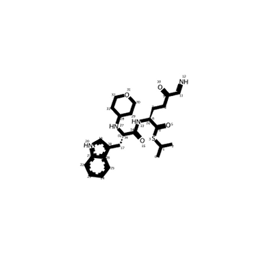 CC(C)SC(=O)[C@H](CCC(=O)C=N)NC(=O)[C@H](Cc1c[nH]c2ccccc12)NC1CCOCC1